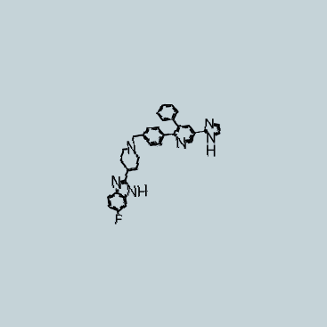 Fc1ccc2nc(C3CCN(Cc4ccc(-c5ncc(-c6ncc[nH]6)cc5-c5ccccc5)cc4)CC3)[nH]c2c1